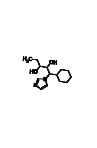 CCC(O)C(O)C(C1CCCCC1)n1ccnc1